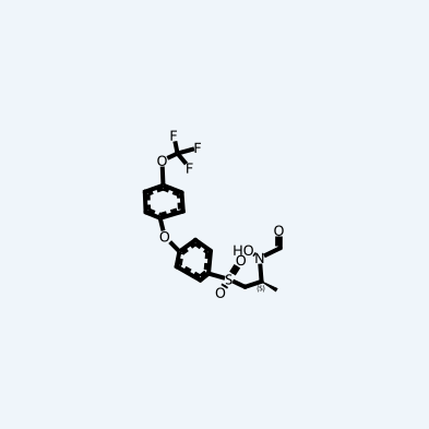 C[C@@H](CS(=O)(=O)c1ccc(Oc2ccc(OC(F)(F)F)cc2)cc1)N(O)C=O